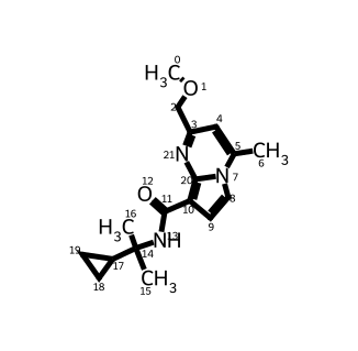 COCc1cc(C)n2ccc(C(=O)NC(C)(C)C3CC3)c2n1